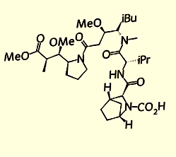 CC[C@H](C)[C@@H]([C@@H](CC(=O)N1CCC[C@H]1[C@H](OC)[C@@H](C)C(=O)OC)OC)N(C)C(=O)[C@@H](NC(=O)[C@@H]1[C@H]2CC[C@H](C2)N1C(=O)O)C(C)C